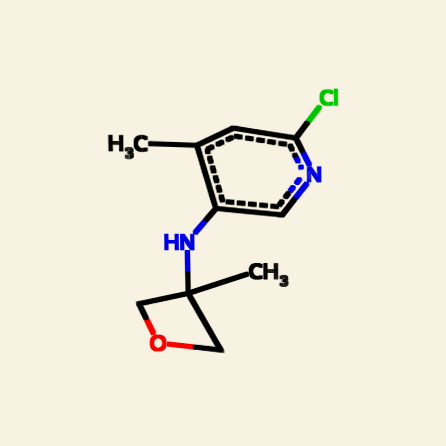 Cc1cc(Cl)ncc1NC1(C)COC1